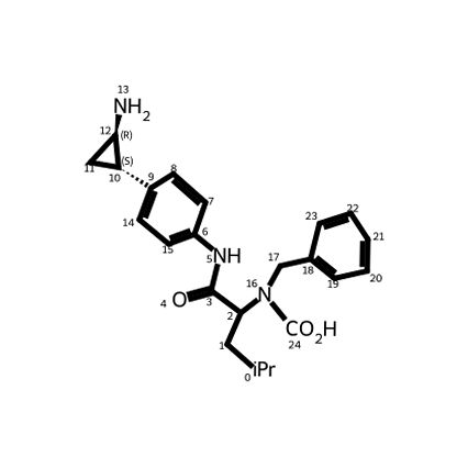 CC(C)CC(C(=O)Nc1ccc([C@@H]2C[C@H]2N)cc1)N(Cc1ccccc1)C(=O)O